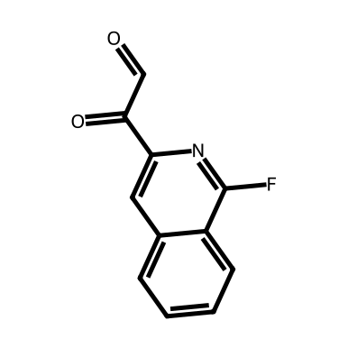 O=CC(=O)c1cc2ccccc2c(F)n1